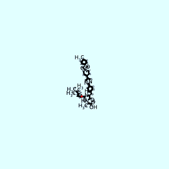 Cc1ccc(S(=O)(=O)N2CC=C(c3cnc(-c4ccc(C[C@H](NC(=O)c5ccc(C(C)(C)C)s5)C(=O)N[C@H](C)C(=O)O)cc4)nc3)CC2)cc1